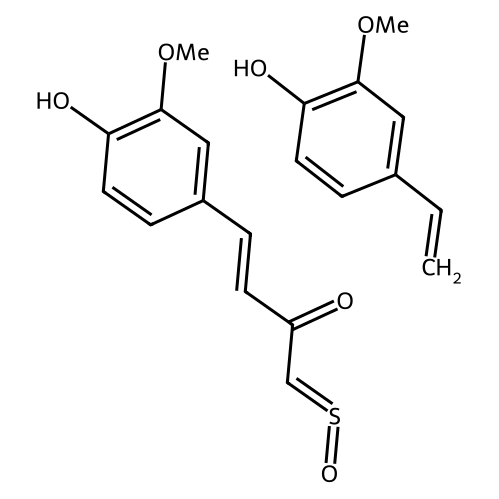 C=Cc1ccc(O)c(OC)c1.COc1cc(C=CC(=O)C=S=O)ccc1O